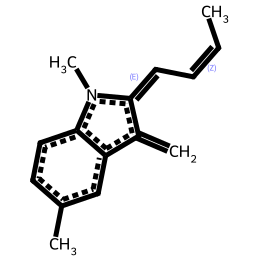 C=c1/c(=C\C=C/C)n(C)c2ccc(C)cc12